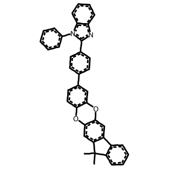 CC1(C)c2ccccc2-c2cc3c(cc21)Oc1ccc(-c2ccc(-c4nc5ccccc5n4-c4ccccc4)cc2)cc1O3